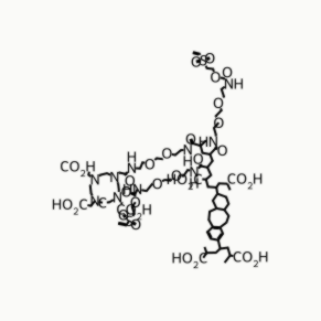 C=CS(=O)(=O)CCOC(=O)NCCOCCOCCNC(=O)C(CC(C)C(=O)NCCOCCOCCNC(=O)CN1CCN(CC(=O)O)CCN(CC(=O)O)CCN(CC(=O)O)CC1)CC(CC(CC(CC(C)C(=O)O)C1CCC2CCc3cc(C(CC(C)C(=O)O)CC(C)C(=O)O)ccc3CCC2C1)C(=O)O)C(=O)NCCOCCOCCNC(=O)OCCS(=O)(=O)C=C